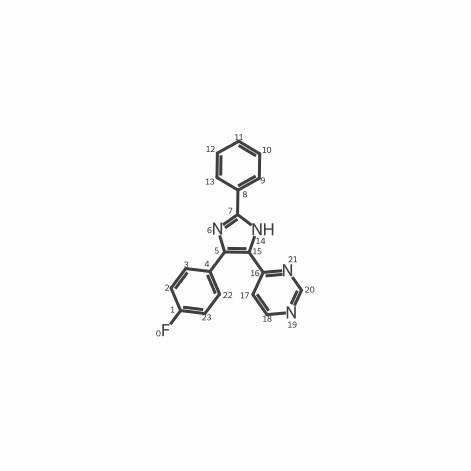 Fc1ccc(-c2nc(-c3ccccc3)[nH]c2-c2ccncn2)cc1